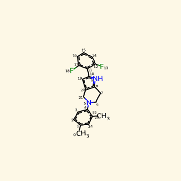 Cc1ccc(N2CCc3[nH]c(-c4c(F)cccc4F)cc3C2)c(C)c1